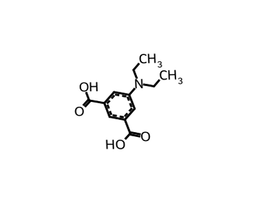 CCN(CC)c1cc(C(=O)O)cc(C(=O)O)c1